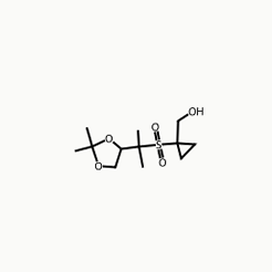 CC1(C)OCC(C(C)(C)S(=O)(=O)C2(CO)CC2)O1